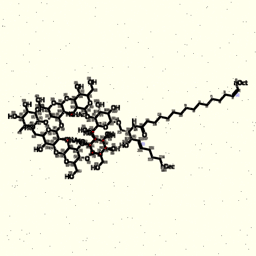 CCCCCCCC/C=C\CCCCCCCCCCCCCC(=O)N[C@@H](CO[C@@H]1OC(CO)[C@@H](O[C@@H]2OC(CO)[C@H](O)[C@H](O[C@@H]3OC(CO)[C@@H](O[C@H]4OC(C)[C@@H](O)C(O)[C@@H]4O)[C@H](O[C@@H]4OC(CO)[C@H](O)[C@H](O[C@@H]5OC(CO)[C@@H](O[C@H]6OC(C)[C@@H](O)C(O)[C@@H]6O)[C@H](O[C@@H]6OC(CO)[C@H](O)[C@H](O)C6O)C5NC(C)=O)C4O)C3NC(C)=O)C2O)[C@H](O)C1O)[C@H](O)/C=C/CCCCCCCCCCCCC